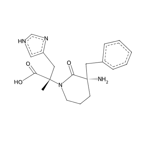 C[C@](Cc1c[nH]cn1)(C(=O)O)N1CCC[C@](N)(Cc2ccccc2)C1=O